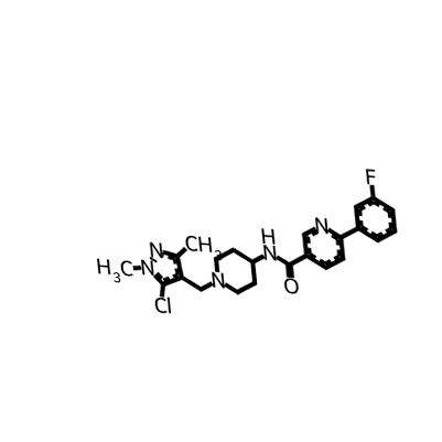 Cc1nn(C)c(Cl)c1CN1CCC(NC(=O)c2ccc(-c3cccc(F)c3)nc2)CC1